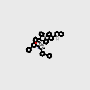 CNC(/C=C(\Nn1c2c(c3ccccc31)-c1ccccc1N(c1cccc3c(C4=CC=C5C=CC=CC5N4)cccc13)c1ccccc1-2)c1cccc(-c2ccccc2)c1)c1cccc(-c2ccccc2)c1